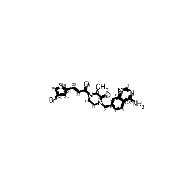 C[C@H]1C(=O)N(Cc2ccc3c(N)ncnc3c2)CCN1C(=O)C=Cc1cc(Br)cs1